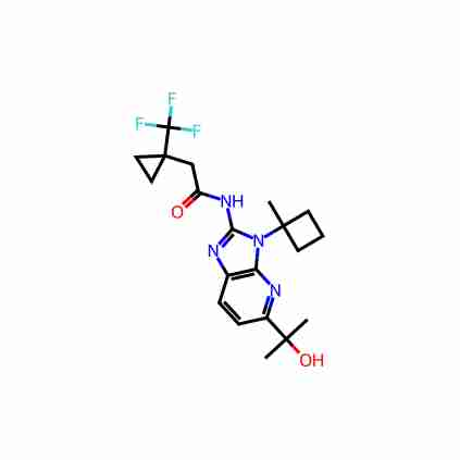 CC(C)(O)c1ccc2nc(NC(=O)CC3(C(F)(F)F)CC3)n(C3(C)CCC3)c2n1